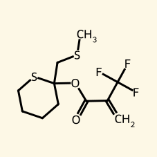 C=C(C(=O)OC1(CSC)CCCCS1)C(F)(F)F